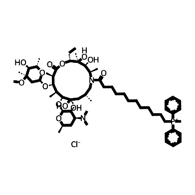 CC[C@H]1OC(=O)[C@H](C)[C@@H](O[C@H]2C[C@@](C)(OC)[C@@H](O)[C@H](C)O2)[C@H](C)[C@@H](O[C@@H]2O[C@H](C)C[C@H](N(C)C)[C@H]2O)[C@](C)(O)C[C@@H](C)CN(C(=O)CCCCCCCCCCC[P+](C)(c2ccccc2)c2ccccc2)[C@H](C)[C@@H](O)[C@]1(C)O.[Cl-]